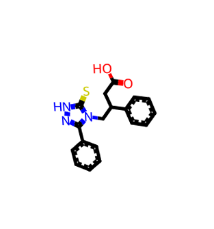 O=C(O)CC(Cn1c(-c2ccccc2)n[nH]c1=S)c1ccccc1